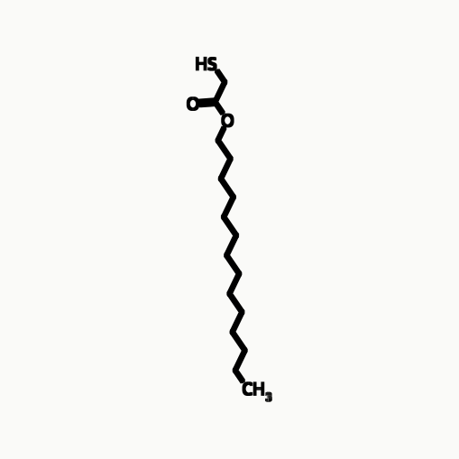 CCCCCCCCCCCCCCOC(=O)CS